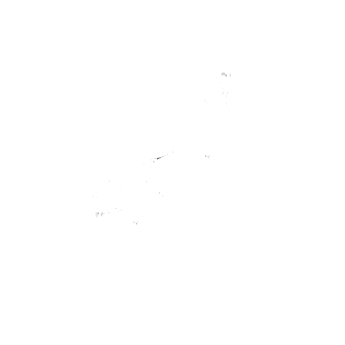 CN1C[C@@H](Nc2ncnc3[nH]ccc23)C[C@H](O[Si](C)(C)C(C)(C)C)C1